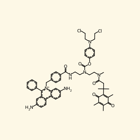 CC1=C(C)C(=O)C(C(C)(C)CC(=O)N(C)CCN(CCNC(=O)c2ccc(C[n+]3c(-c4ccccc4)c4cc(N)ccc4c4ccc(N)cc43)cc2)C(=O)Oc2ccc(N(CCCl)CCCl)cc2)=C(C)C1=O